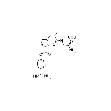 CC(Cc1ccc(C(=O)Oc2ccc(C(=N)N)cc2)o1)C(=O)N(CC(N)=O)CC(=O)O